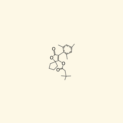 Cc1cc(C)c(C2=C(OC(=O)CC(C)(C)C)C3(CCCC3)OC2=O)c(C)c1